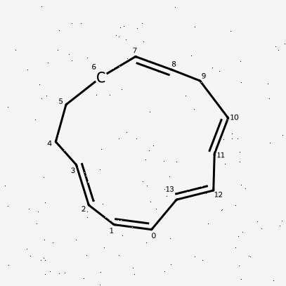 C1=C\C=C\CCC/C=C\C/C=C/C=C/1